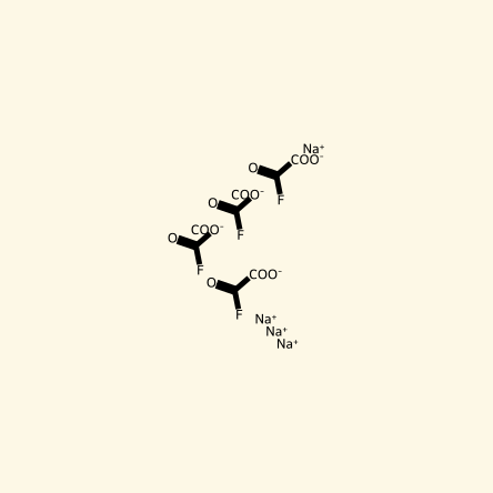 O=C([O-])C(=O)F.O=C([O-])C(=O)F.O=C([O-])C(=O)F.O=C([O-])C(=O)F.[Na+].[Na+].[Na+].[Na+]